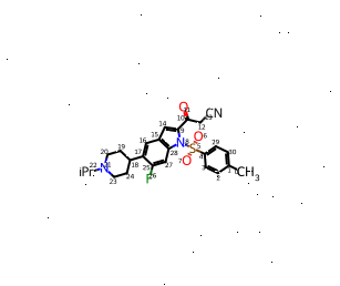 Cc1ccc(S(=O)(=O)n2c(C(=O)CC#N)cc3cc(C4CCN(C(C)C)CC4)c(F)cc32)cc1